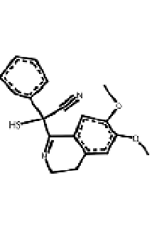 COc1cc2c(cc1OC)C(C(S)(C#N)c1ccccc1)=NCC2